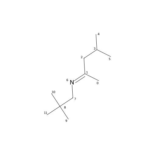 C/C(CC(C)C)=N\CC(C)(C)C